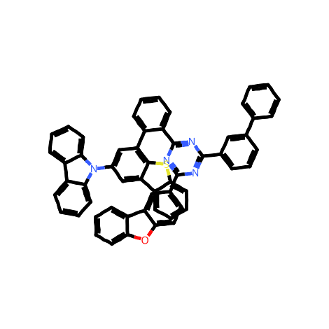 c1ccc(-c2cccc(-c3nc(-c4ccc5oc6ccccc6c5c4)nc(-c4ccccc4-c4cc(-n5c6ccccc6c6ccccc65)cc5c4sc4ccccc45)n3)c2)cc1